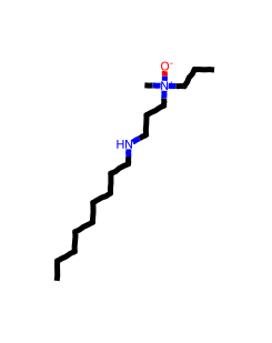 CCCCCCCCCNCCC[N+](C)([O-])CCC